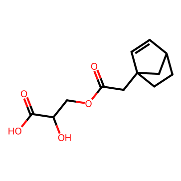 O=C(CC12C=CC(CC1)C2)OCC(O)C(=O)O